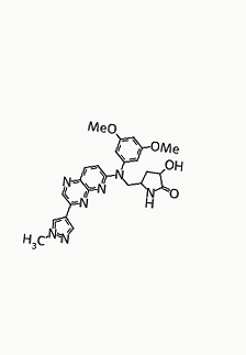 COc1cc(OC)cc(N(CC2CC(O)C(=O)N2)c2ccc3ncc(-c4cnn(C)c4)nc3n2)c1